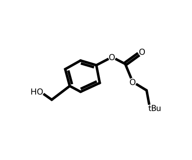 CC(C)(C)COC(=O)Oc1ccc(CO)cc1